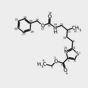 CCOC(=O)c1csc(CCC(C)CNC(=O)OCc2ccccc2)n1